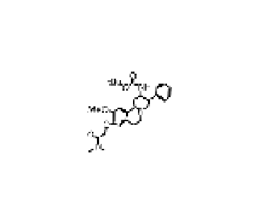 COc1cc2c(cc1OCC(=O)N(C)C)CCN1CC(c3ccccc3)C(NC(=O)OC(C)(C)C)CC21